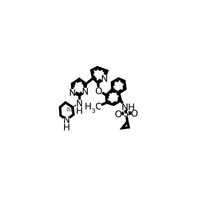 Cc1cc(NS(=O)(=O)C2CC2)c2ccccc2c1Oc1ncccc1-c1ccnc(N[C@H]2CCCNC2)n1